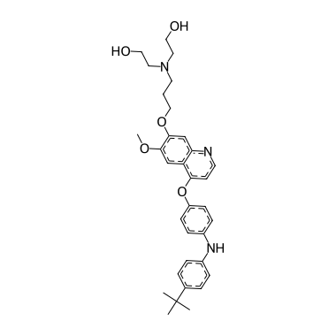 COc1cc2c(Oc3ccc(Nc4ccc(C(C)(C)C)cc4)cc3)ccnc2cc1OCCCN(CCO)CCO